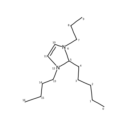 CCCCCC1N(CCC)C=CN1CCCC